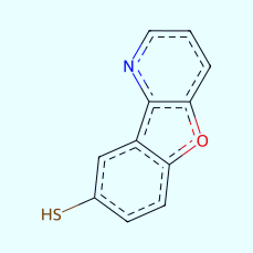 Sc1ccc2oc3cccnc3c2c1